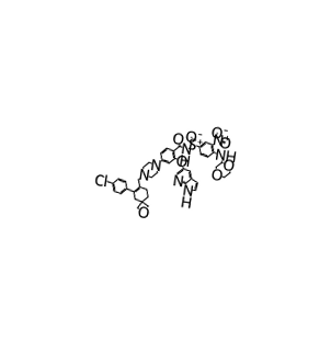 O=C(N[S+]([O-])c1ccc(NC2COCCO2)c([N+](=O)[O-])c1)c1ccc(N2CCN(CC3=C(c4ccc(Cl)cc4)CC4(CC3)COC4)CC2)cc1Oc1cnc2[nH]ccc2c1